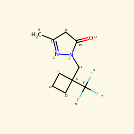 [CH2]C1=NN(CC2(C(F)(F)F)CCC2)C(=O)C1